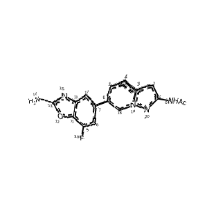 CC(=O)Nc1cc2ccc(-c3cc(F)c4oc(N)nc4c3)cn2n1